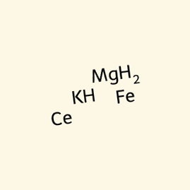 [Ce].[Fe].[KH].[MgH2]